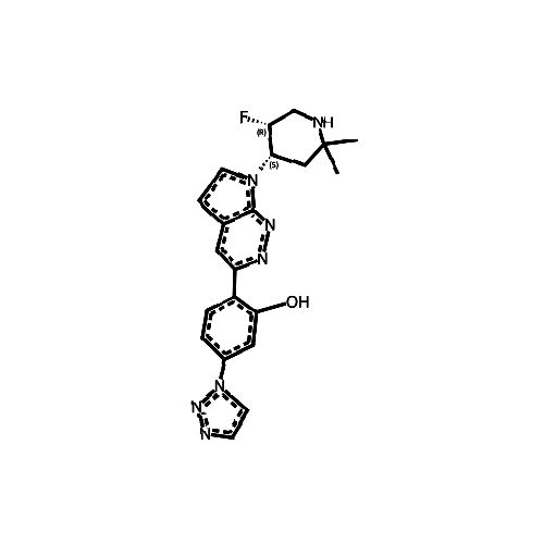 CC1(C)C[C@H](n2ccc3cc(-c4ccc(-n5ccnn5)cc4O)nnc32)[C@H](F)CN1